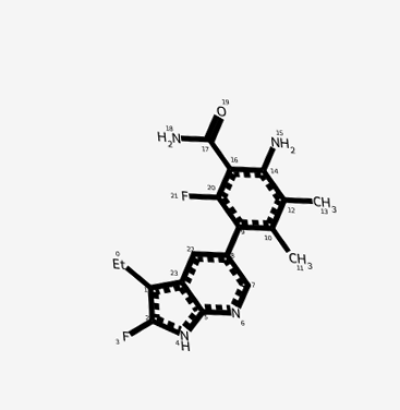 CCc1c(F)[nH]c2ncc(-c3c(C)c(C)c(N)c(C(N)=O)c3F)cc12